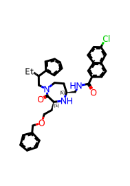 CCC(CN1CC[C@@H](CNC(=O)c2ccc3cc(Cl)ccc3c2)N[C@@H](CCOCc2ccccc2)C1=O)c1ccccc1